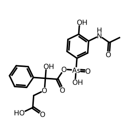 CC(=O)Nc1cc([As](=O)(O)OC(=O)C(O)(OCC(=O)O)c2ccccc2)ccc1O